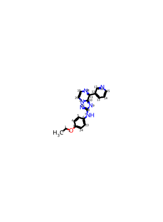 CCOc1ccc(Nc2nc3c(-c4cccnc4)nccn3n2)cc1